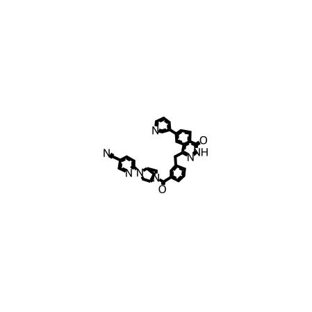 N#Cc1ccc(N2CC3CC2CN3C(=O)c2cccc(Cc3n[nH]c(=O)c4ccc(-c5cccnc5)cc34)c2)nc1